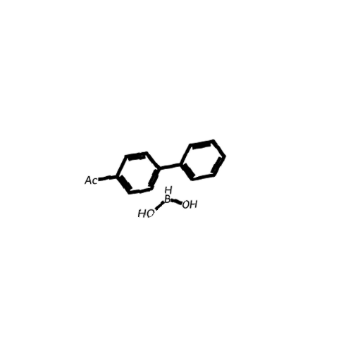 CC(=O)c1ccc(-c2ccccc2)cc1.OBO